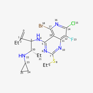 C=C(CC)C(Nc1nc(SCC)nc2c(F)c(Cl)nc(Br)c12)[C@H](CC)NC1CC1